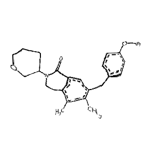 Cc1c(Cc2ccc(OC(C)C)cc2)cc2c(c1C)CN(C1CCCOC1)C2=O